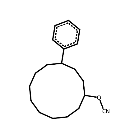 N#COC1CCCCCCCCC(c2ccccc2)CC1